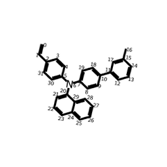 C=Cc1ccc(N(c2ccc(-c3cccc(C)c3)cc2)c2cccc3ccccc23)cc1